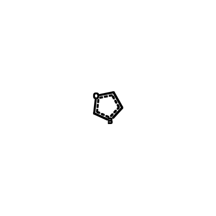 b1ccoc1